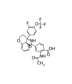 CC(=O)Nc1cc(C(=O)NC2(c3ccc(OC(F)(F)F)c(F)c3)CCOc3cccnc32)ccc1C(=O)O